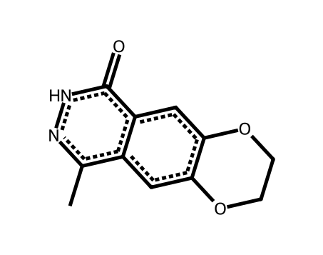 Cc1n[nH]c(=O)c2cc3c(cc12)OCCO3